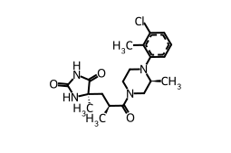 Cc1c(Cl)cccc1N1CCN(C(=O)[C@@H](C)C[C@@]2(C)NC(=O)NC2=O)C[C@@H]1C